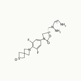 N/C=C\N(N)C[C@H]1CN(c2cc(F)c(N3CC4(C3)C[S+]([O-])C4)c(F)c2)C(=O)O1